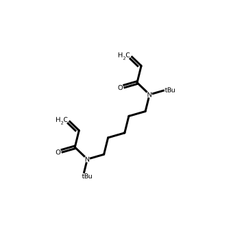 C=CC(=O)N(CCCCCN(C(=O)C=C)C(C)(C)C)C(C)(C)C